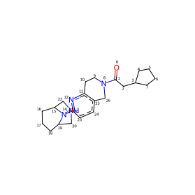 O=C(CC1CCCC1)N1CCc2nc(N3C4CCCC3CNC4)ccc2C1